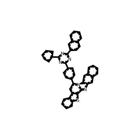 c1ccc(-c2nc(-c3ccc(-c4cc5c6ccccc6sc5c5nc6cc7ccccc7cc6n45)cc3)nc(-c3ccc4ccccc4c3)n2)cc1